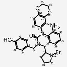 [CH]c1ccc(CN(CC2CCCN2CC)C(=O)N(c2ccc3c(c2)OCCO3)c2ccccc2N)cc1